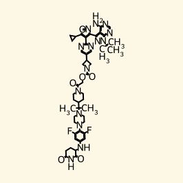 CC(C)(C1CCN(C(=O)COC(=O)N2CC(c3cnc(-c4c(-c5nn(C(C)(C)C)c6ncnc(N)c56)noc4C4CC4)nc3)C2)CC1)N1CCN(c2c(F)cc(NC3CCC(=O)NC3=O)cc2F)CC1